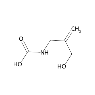 C=C(CO)CNC(=O)O